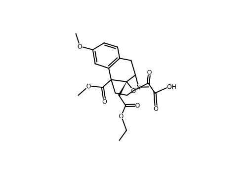 CCOC(=O)C[C@]1(OC(=O)C(=O)O)C2Cc3ccc(OC)cc3C1(C(=O)OC)CCN2C